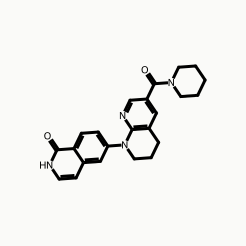 O=C(c1cnc2c(c1)CCCN2c1ccc2c(=O)[nH]ccc2c1)N1CCCCC1